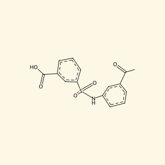 CC(=O)c1cccc(NS(=O)(=O)c2cccc(C(=O)O)c2)c1